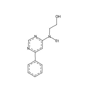 CCN(CCO)c1cc(-c2ccccc2)ncn1